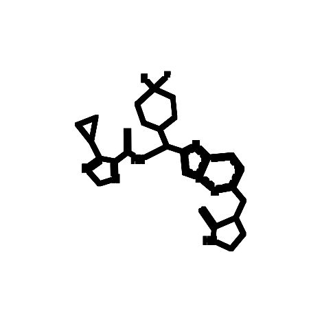 C=C(NC(c1cn2nc(CC3CCNC3=C)ccc2n1)C1CCC(F)(F)CC1)C1=NCN=C1C1CC1